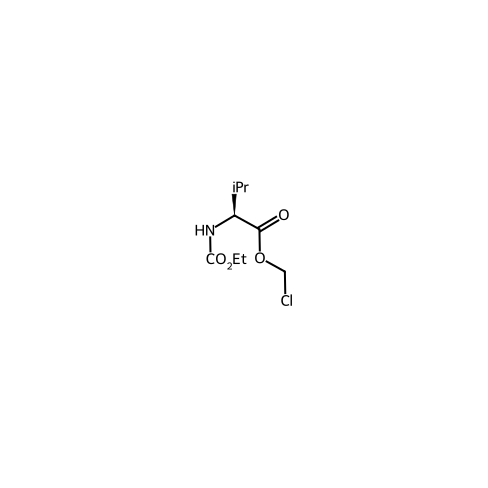 CCOC(=O)N[C@H](C(=O)OCCl)C(C)C